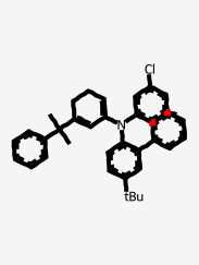 Cc1cc(Cl)cc(N(C2=CCCC(C(C)(C)c3ccccc3)=C2)c2ccc(C(C)(C)C)cc2-c2ccccc2)c1